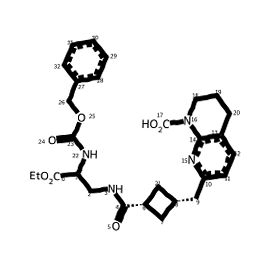 CCOC(=O)C(CNC(=O)[C@H]1C[C@@H](Cc2ccc3c(n2)N(C(=O)O)CCC3)C1)NC(=O)OCc1ccccc1